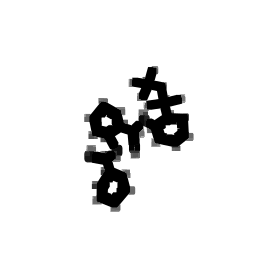 CC(C)(C)CC(C)(C)c1ccccc1OC(=O)c1ccccc1OC(=O)c1ccccc1